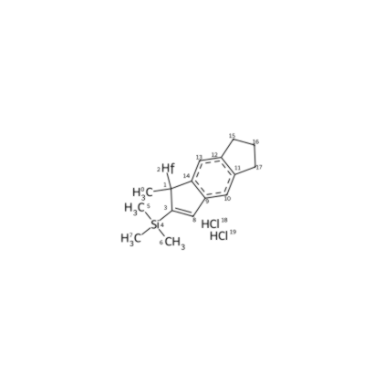 C[C]1([Hf])C([Si](C)(C)C)=Cc2cc3c(cc21)CCC3.Cl.Cl